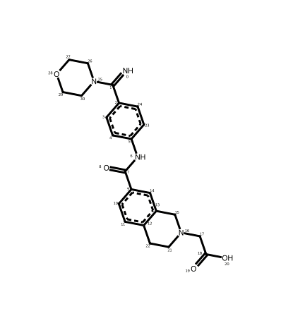 N=C(c1ccc(NC(=O)c2ccc3c(c2)CN(CC(=O)O)CC3)cc1)N1CCOCC1